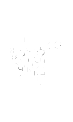 Bc1c(B)c(B)c2c(-c3cc4c(c5ccccc35)C(C)CC=C4)c3c(B)c(B)c(O)c(B)c3c(-c3ccc(-c4ccc5ccccc5c4)cc3)c2c1B